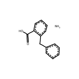 N.O=C(O)c1ccccc1Cc1ccccc1